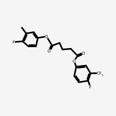 Cc1cc(OC(=O)CCCC(=O)Oc2ccc(F)c(C(F)(F)F)c2)ccc1F